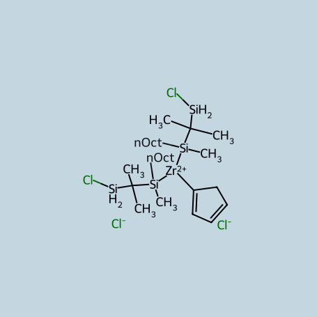 CCCCCCCC[Si](C)([Zr+2]([C]1=CC=CC1)[Si](C)(CCCCCCCC)C(C)(C)[SiH2]Cl)C(C)(C)[SiH2]Cl.[Cl-].[Cl-]